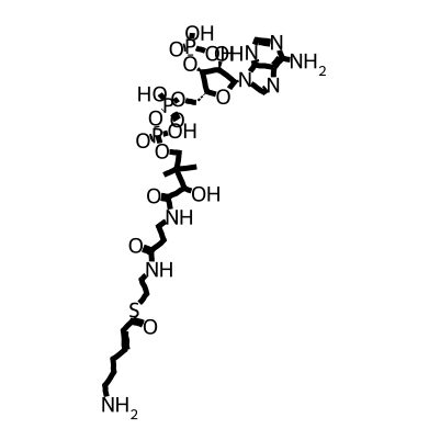 CC(C)(COP(=O)(O)OP(=O)(O)OC[C@H]1O[C@@H](n2cnc3c(N)ncnc32)[C@H](O)[C@@H]1OP(=O)(O)O)C(O)C(=O)NCCC(=O)NCCSC(=O)C=CCCCN